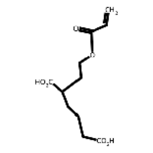 C=CC(=O)OCCC(CCCC(=O)O)C(=O)O